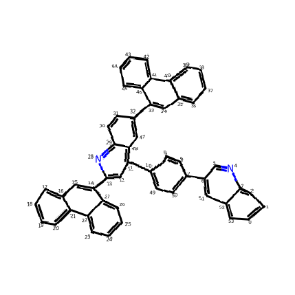 c1ccc2ncc(-c3ccc(-c4cc(-c5cc6ccccc6c6ccccc56)nc5ccc(-c6cc7ccccc7c7ccccc67)cc45)cc3)cc2c1